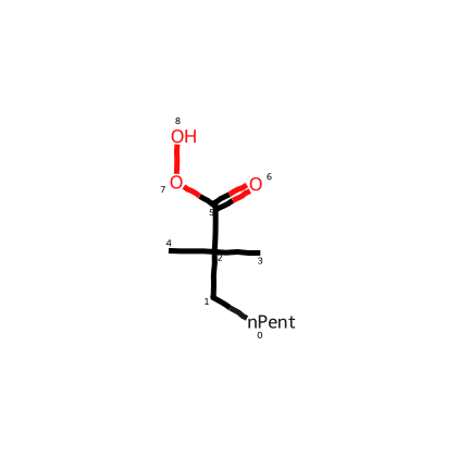 CCCCCCC(C)(C)C(=O)OO